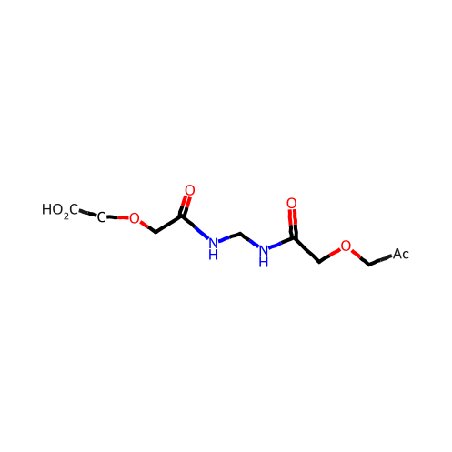 CC(=O)COCC(=O)NCNC(=O)COCC(=O)O